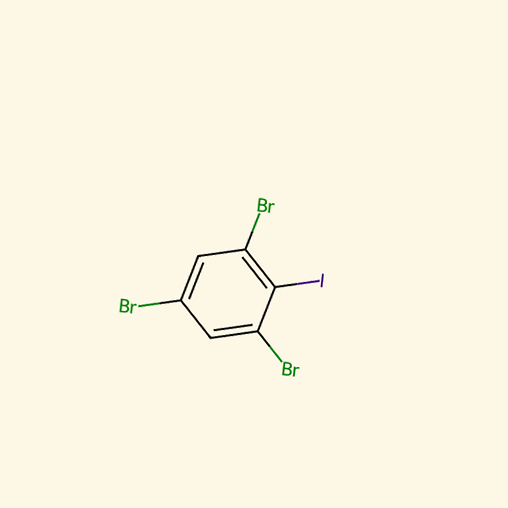 Brc1cc(Br)c(I)c(Br)c1